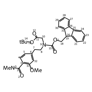 CNC(=O)c1ccc(CCN(CC(=O)OC(C)(C)C)C(=O)OCC2c3ccccc3-c3ccccc32)cc1OC